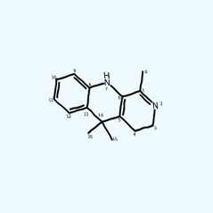 CC1=NCCC2=C1Nc1ccccc1C2(C)C